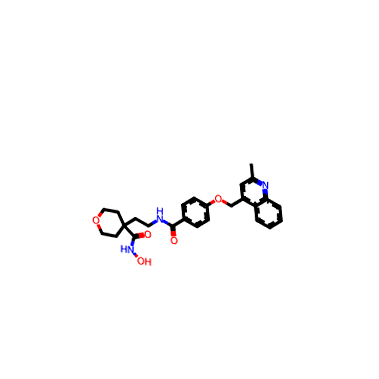 Cc1cc(COc2ccc(C(=O)NCCC3(C(=O)NO)CCOCC3)cc2)c2ccccc2n1